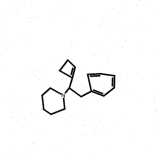 [CH]1CCN(C(Cc2ccccc2)C2=CCC2)CC1